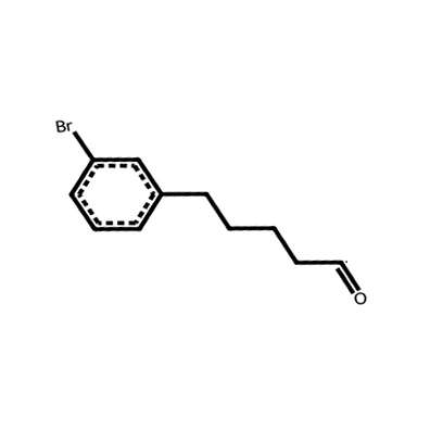 O=[C]CCCCc1cccc(Br)c1